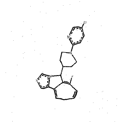 FC1=C2C(=CCC=C1)c1cncn1C2C1CCN(c2ccc(Cl)cn2)CC1